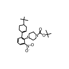 CC(C)(C)OC(=O)N1CCN(c2c(C3=CCC(C(C)(C)C)CC3)cccc2[N+](=O)[O-])CC1